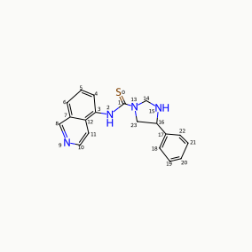 S=C(Nc1cccc2cnccc12)N1CNC(c2ccccc2)C1